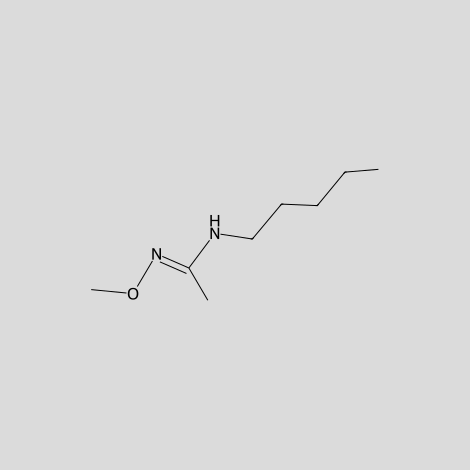 CCCCCN/C(C)=N/OC